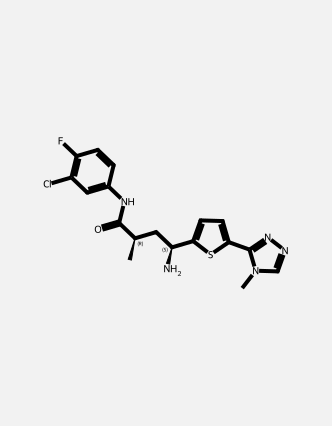 C[C@H](C[C@H](N)c1ccc(-c2nncn2C)s1)C(=O)Nc1ccc(F)c(Cl)c1